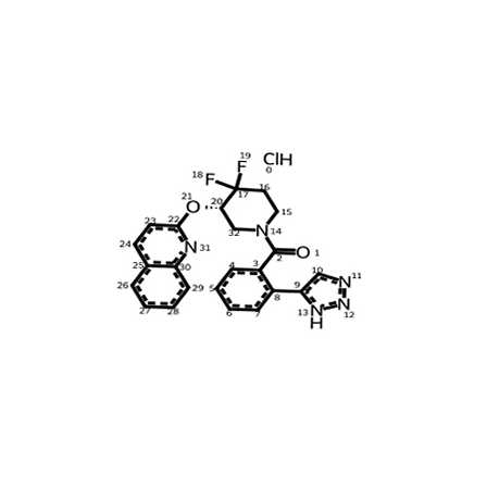 Cl.O=C(c1ccccc1-c1cnn[nH]1)N1CCC(F)(F)[C@@H](Oc2ccc3ccccc3n2)C1